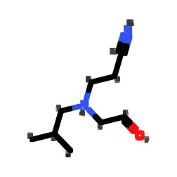 CC(C)CN(CC=O)CCC#N